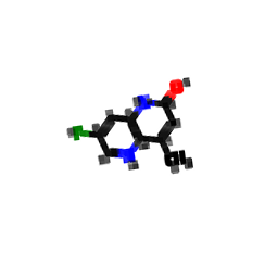 CC1=CC(=O)[N]c2cc(F)cnc21